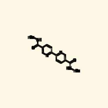 CCCCNC(=O)c1ccc(-c2ccc(C(=O)NCCCC)cn2)nc1